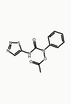 CC(=O)ON(C(=O)Nc1cnns1)c1ccccc1